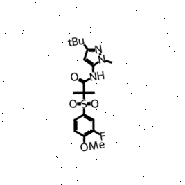 COc1ccc(S(=O)(=O)C(C)(C)C(=O)Nc2cc(C(C)(C)C)nn2C)cc1F